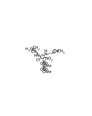 COS(=O)(=O)[O-].COS(=O)(=O)[O-].C[n+]1ccn(CCCNc2cc(NCCC[N+](C)(C)C)c(Cl)cc2[N+](=O)[O-])c1